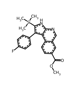 COC(=O)c1ccc2c(cnc3[nH]c([Si](C)(C)C)c(-c4ccc(F)cc4)c32)c1